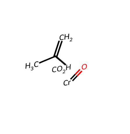 C=C(C)C(=O)O.[O]=[Cr]